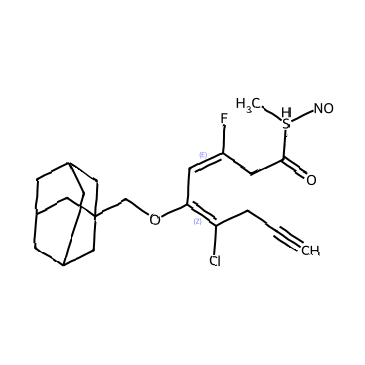 C#CC/C(Cl)=C(\C=C(\F)CC(=O)[SH](C)N=O)OCC12CC3CC(CC(C3)C1)C2